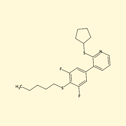 CCCCCSc1c(F)cc(-c2cccnc2SC2CCCC2)cc1F